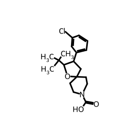 CC(C)(C)C1OC2(CCN(C(=O)O)CC2)CC1c1cccc(Cl)c1